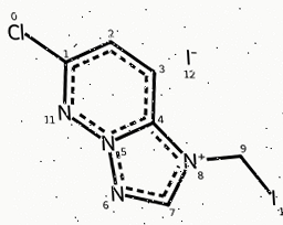 Clc1ccc2n(nc[n+]2CI)n1.[I-]